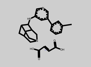 Cc1cccc(-c2cncc(NC3C4CC5CC3CN(C5)C4)c2)c1.O=C(O)/C=C/C(=O)O